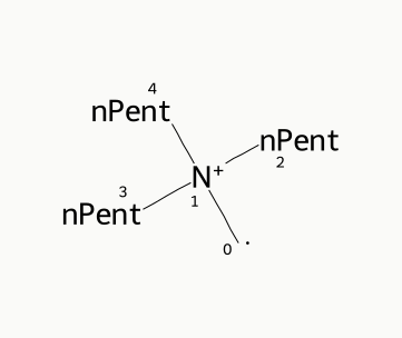 [CH2][N+](CCCCC)(CCCCC)CCCCC